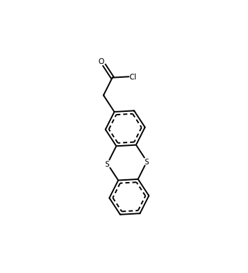 O=C(Cl)Cc1ccc2c(c1)Sc1ccccc1S2